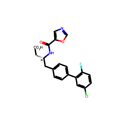 O=C(O)C[C@@H](Cc1ccc(-c2cc(Cl)ccc2F)cc1)NC(=O)c1cnco1